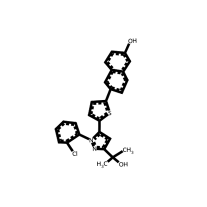 CC(C)(O)c1cc(-c2ccc(-c3ccc4cc(O)ccc4c3)s2)n(-c2ccccc2Cl)n1